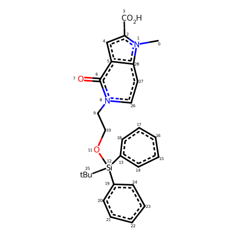 Cn1c(C(=O)O)cc2c(=O)n(CCO[Si](c3ccccc3)(c3ccccc3)C(C)(C)C)ccc21